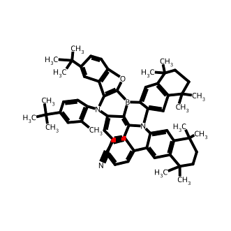 Cc1cc(C(C)(C)C)ccc1N1c2cc(C#N)cc3c2B(c2cc4c(cc2N3c2cc3c(cc2-c2ccccc2)C(C)(C)CCC3(C)C)C(C)(C)CCC4(C)C)c2oc3ccc(C(C)(C)C)cc3c21